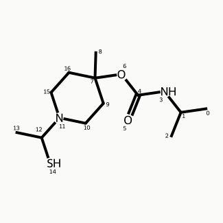 CC(C)NC(=O)OC1(C)CCN(C(C)S)CC1